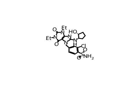 CCn1c(=O)c2c(nc(N[C@@H]3CCC[C@H]3O)n2Cc2ccc(S(N)(=O)=O)c(Cl)c2)n(CC)c1=O